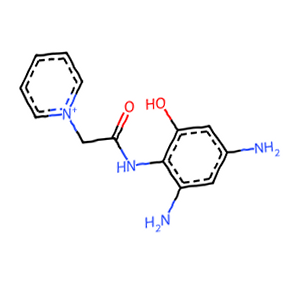 Nc1cc(N)c(NC(=O)C[n+]2ccccc2)c(O)c1